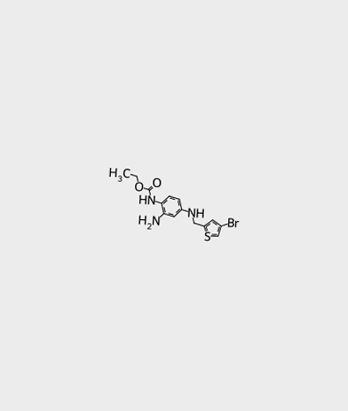 CCOC(=O)Nc1ccc(NCc2cc(Br)cs2)cc1N